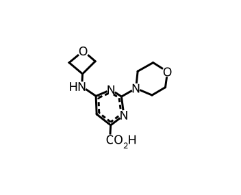 O=C(O)c1cc(NC2COC2)nc(N2CCOCC2)n1